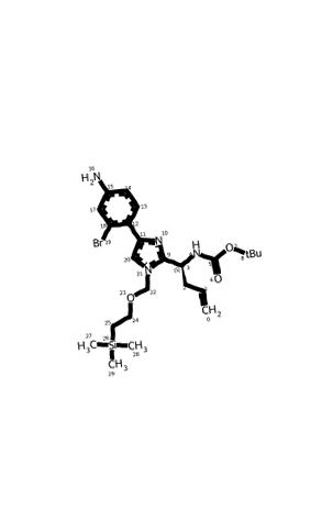 C=CC[C@H](NC(=O)OC(C)(C)C)c1nc(-c2ccc(N)cc2Br)cn1COCC[Si](C)(C)C